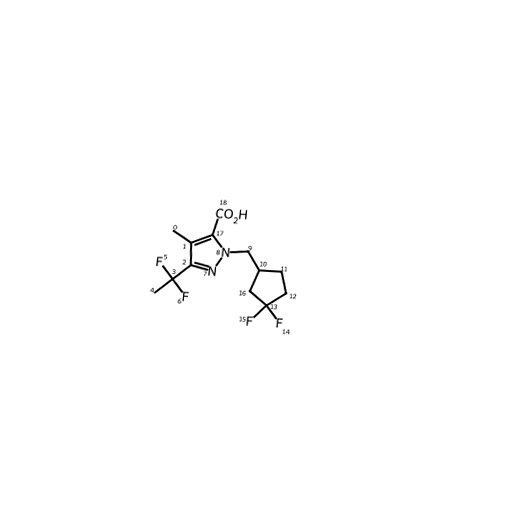 Cc1c(C(C)(F)F)nn(CC2CCC(F)(F)C2)c1C(=O)O